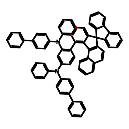 c1ccc(-c2ccc(N(c3ccccc3)c3ccc(-c4cccc5c4-c4c(ccc6ccccc46)C54c5ccccc5-c5ccccc54)c(N(c4ccccc4)c4ccc(-c5ccccc5)cc4)c3)cc2)cc1